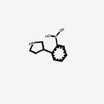 OB(O)c1ccccc1C1CCNC1